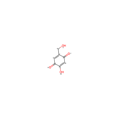 O=C1C=C(CO)C(=O)C=C1O